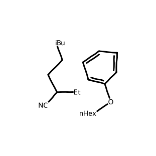 CCC(C)CCC(C#N)CC.CCCCCCOc1ccccc1